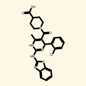 CC1=C(C(=O)N2CCC(C(=O)O)CC2)C(c2ccccc2Cl)N=C(Nc2nc3ccccc3o2)N1